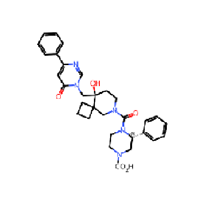 O=C(O)N1CCN(C(=O)N2CCC(O)(Cn3cnc(-c4ccccc4)cc3=O)C3(CCC3)C2)[C@H](c2ccccc2)C1